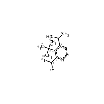 CC(C)c1ccnc(C(F)F)c1C(C)(C)C